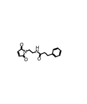 O=C(CCc1ccccc1)NCCN1C(=O)C=CC1=O